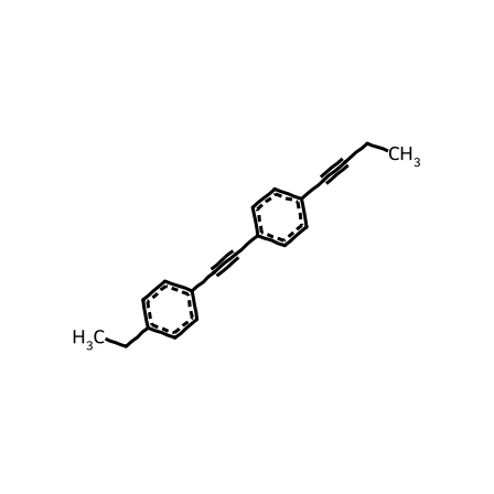 CCC#Cc1ccc(C#Cc2ccc(CC)cc2)cc1